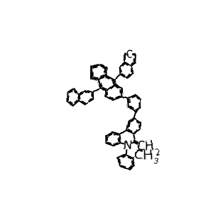 C=C1c2ccc(-c3cccc(-c4ccc5c(-c6ccc7ccccc7c6)c6ccccc6c(-c6ccc7ccccc7c6)c5c4)c3)cc2-c2ccccc2N1c1ccccc1C